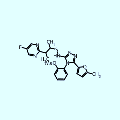 COc1ccccc1-n1c(NSC(C)C(C)c2ncc(F)cn2)nnc1-c1ccc(C)o1